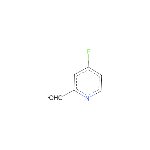 O=[C]c1cc(F)ccn1